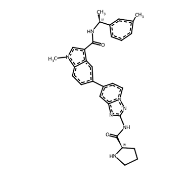 Cc1cccc([C@H](C)NC(=O)c2cn(C)c3ccc(-c4ccn5nc(NC(=O)[C@H]6CCCN6)nc5c4)cc23)c1